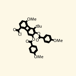 COc1ccc(C(=O)Oc2cc3c(c(C(C)(C)C)c2OC(=O)c2ccc(OC)cc2)-c2c(OC)ccc(C(=O)Cl)c2-3)cc1